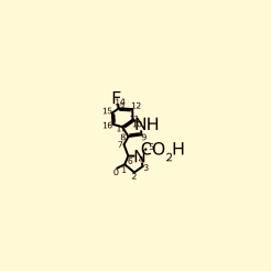 CC1CCN(C(=O)O)C1Cc1c[nH]c2cc(F)ccc12